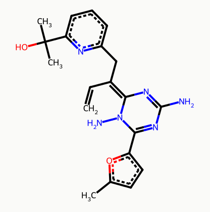 C=C/C(Cc1cccc(C(C)(C)O)n1)=C1/N=C(N)N=C(c2ccc(C)o2)N1N